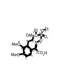 CCOP(=O)(OCC)ON=C(C(=O)O)c1ccc(OC)c(OC)c1CCOC